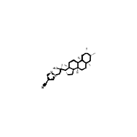 C[C@@H]1C[C@@]2(C)CC[C@@H]3C(CC[C@@]4(C)C3CC[C@@H]4[C@](C)(O)Cn3cc(C#N)cn3)[C@H]2C[C@@H]1C